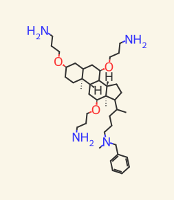 CC(CCCN(C)Cc1ccccc1)C1CC[C@H]2C3[C@H](OCCCN)CC4C[C@H](OCCCN)CC[C@]4(C)[C@H]3C[C@H](OCCCN)[C@]12C